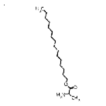 CCCCCCCCCCCCCCCCOC(=O)C(C)N